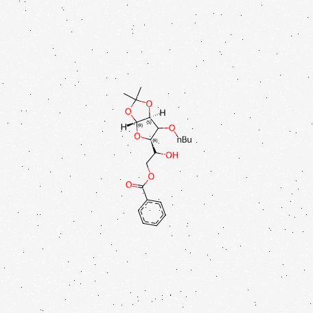 CCCCOC1[C@@H](C(O)COC(=O)c2ccccc2)O[C@@H]2OC(C)(C)O[C@@H]12